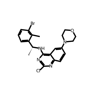 Cc1c(Br)cccc1[C@@H](C)Nc1nc(Cl)nc2ccc(N3CCOCC3)cc12